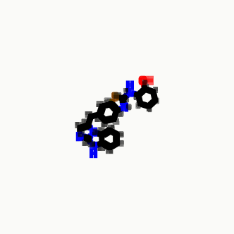 OC1CCCCC1Nc1nc2ccc(Cc3cnc4[nH]c5ccccc5n34)cc2s1